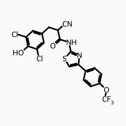 N#CC(Cc1cc(Cl)c(O)c(Cl)c1)C(=O)Nc1nc(-c2ccc(OC(F)(F)F)cc2)cs1